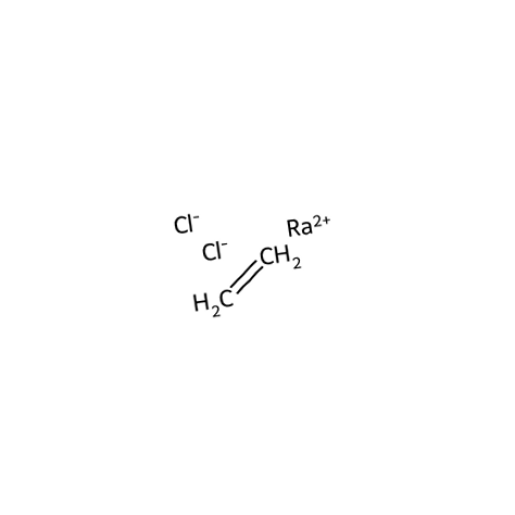 C=C.[Cl-].[Cl-].[Ra+2]